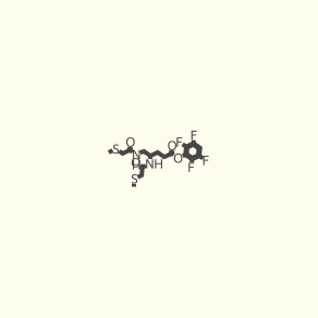 CSCC(=O)NCC(CCC(=O)Oc1c(F)c(F)cc(F)c1F)NC(=O)CSC